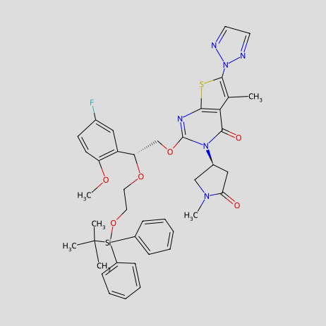 COc1ccc(F)cc1[C@H](COc1nc2sc(-n3nccn3)c(C)c2c(=O)n1[C@H]1CC(=O)N(C)C1)OCCO[Si](c1ccccc1)(c1ccccc1)C(C)(C)C